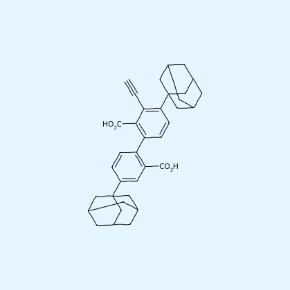 C#Cc1c(C23CC4CC(CC(C4)C2)C3)ccc(-c2ccc(C34CC5CC(CC(C5)C3)C4)cc2C(=O)O)c1C(=O)O